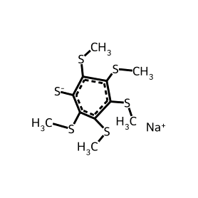 CSc1c([S-])c(SC)c(SC)c(SC)c1SC.[Na+]